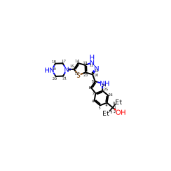 CCC(O)(CC)c1ccc2cc(-c3n[nH]c4cc(N5CCNCC5)sc34)[nH]c2c1